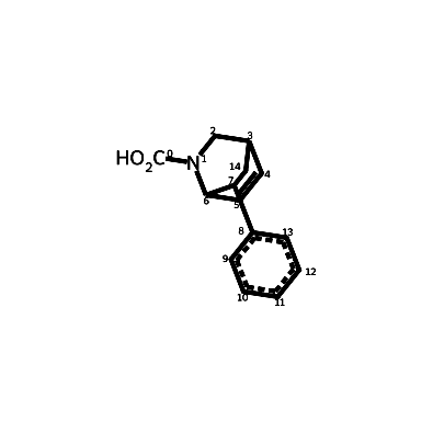 O=C(O)N1CC2C=CC1C(c1ccccc1)C2